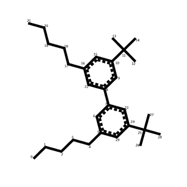 CCCCCc1cc(-c2[c]c(C(C)(C)C)cc(CCCCC)c2)[c]c(C(C)(C)C)c1